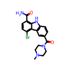 CN1CCN(C(=O)c2ccc3[nH]c4c(C(N)=O)ccc(Br)c4c3c2)CC1